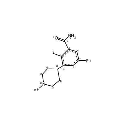 Cc1c(C(N)=O)cc(F)cc1C1CCN(F)CC1